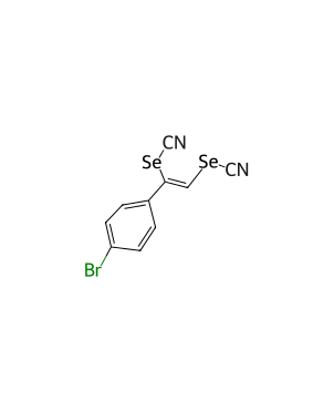 N#C[Se]C=C([Se]C#N)c1ccc(Br)cc1